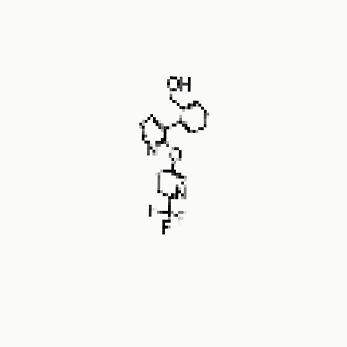 OCc1ccccc1-c1cccnc1Oc1ccc(C(F)(F)F)nc1